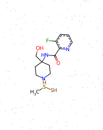 C[SH](S)N1CCC(CO)(NC(=O)c2ncccc2F)CC1